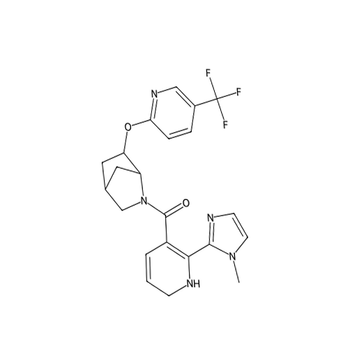 Cn1ccnc1C1=C(C(=O)N2CC3CC(Oc4ccc(C(F)(F)F)cn4)C2C3)C=CCN1